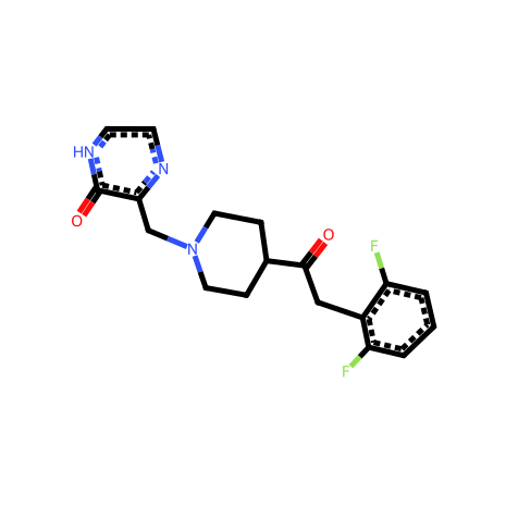 O=C(Cc1c(F)cccc1F)C1CCN(Cc2ncc[nH]c2=O)CC1